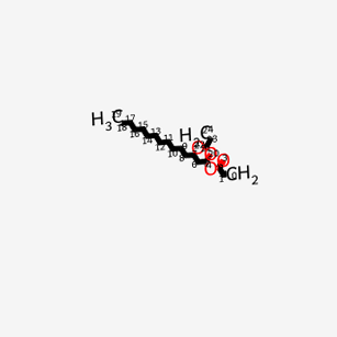 C=CC(=O)OC(CCCCCCCCCCCCCC)OC(=O)C=C